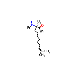 CC(C)=CCCCCCC[C@@](C)(NC(C)C)C(=O)C(C)C